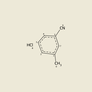 Cc1cccc(C#N)c1.Cl